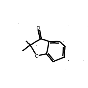 CC1(C)Oc2c[c]ccc2C1=O